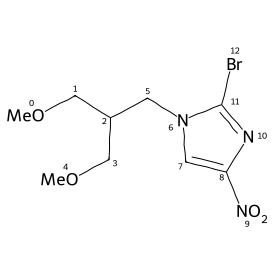 COCC(COC)Cn1cc([N+](=O)[O-])nc1Br